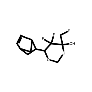 OC1(CF)OCOC(C2CC3C=CC2C3)C1(F)F